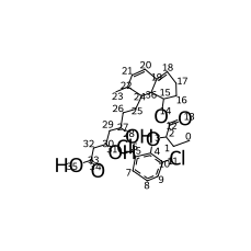 CCC(Oc1c(Cl)cccc1Cl)C(=O)OC1CCC=C2C=CC(C)C(CCC(O)CC(O)CC(=O)O)C21